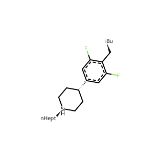 CCCCCCC[Si@H]1CC[C@H](c2cc(F)c(C[C@H](C)CC)c(F)c2)CC1